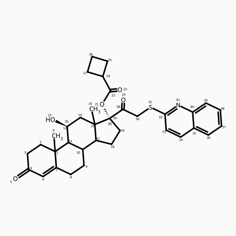 CC12CCC(=O)C=C1CCC1C2[C@@H](O)CC2(C)C1CC[C@]2(OC(=O)C1CCC1)C(=O)CSc1ccc2ccccc2n1